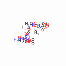 CCc1c2c(nc3ccc(OC(=O)N(C)CCN(C)C(=O)OCc4ccc(NC(=O)[C@H](CCCNC(N)=O)NC(=O)[C@@H](NC(=O)OCC5c6ccccc6-c6ccccc65)C(C)C)cc4)cc13)-c1cc3c(c(=O)n1C2)COC(=O)[C@]3(O)CC